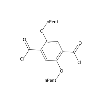 CCCCCOc1cc(C(=O)Cl)c(OCCCCC)cc1C(=O)Cl